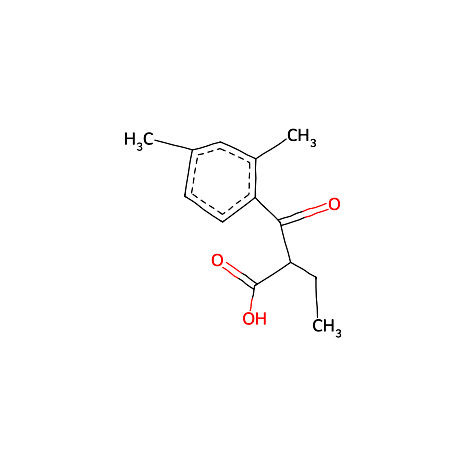 CCC(C(=O)O)C(=O)c1ccc(C)cc1C